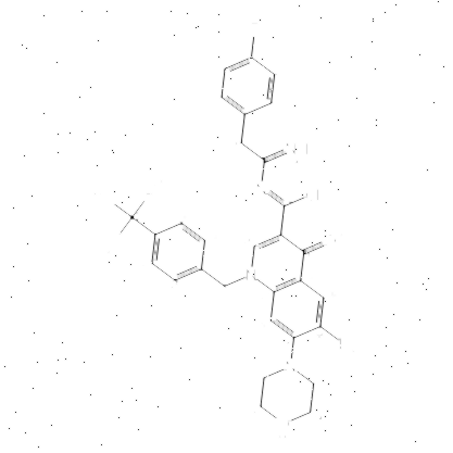 C/C(=N\C(=N)Cc1ccc(F)cc1)c1cn(Cc2ccc(C(F)(F)F)cc2)c2cc(N3CCOCC3)c(F)cc2c1=O